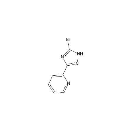 Brc1nc(-c2ccccn2)n[nH]1